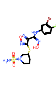 NS(=O)(=O)N1CCC[C@H](Sc2nonc2C(=NO)Nc2ccc(F)c(Br)c2)C1